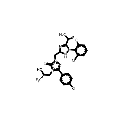 CC(F)C1=NC(Cn2nc(-c3ccc(Cl)cc3)n(C[C@H](O)C(F)(F)F)c2=O)NN1c1c(Cl)cccc1Cl